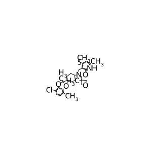 CSc1cc(C)[nH]c(=O)c1CN(CC1(C)COC1)C1CCC(C2(C)Oc3c(C)ccc(Cl)c3O2)CC1